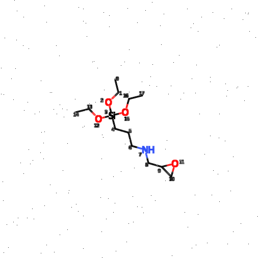 CCO[Si](CCCNCC1CO1)(OCC)OCC